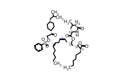 CC(C)C[C@H]1CC[C@H](C(=O)COS(=O)(=O)c2ccccc2)CC1.CCCCC/C=C\C/C=C\C[C@@H](C[C@@H]1OC(=O)[C@H]1CCCCCC)OC(=O)[C@H](CC(C)C)NC=O